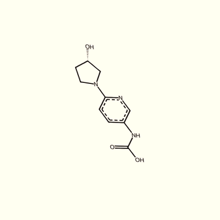 O=C(O)Nc1ccc(N2CC[C@H](O)C2)nc1